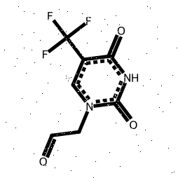 O=CCn1cc(C(F)(F)F)c(=O)[nH]c1=O